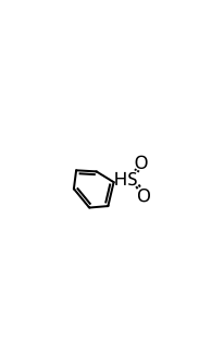 O=[SH](=O)c1ccccc1